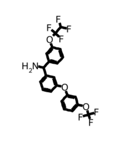 NC(c1cccc(Oc2cccc(OC(F)(F)F)c2)c1)c1cccc(OC(F)(F)C(F)F)c1